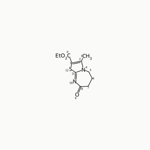 CCOC(=O)C1=C(C)N2CCCC(=O)N=C2S1